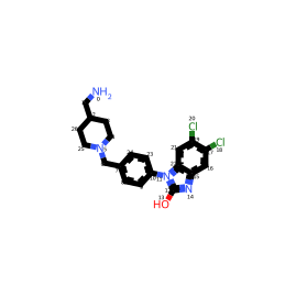 NCC1CCN(Cc2ccc(-n3c(O)nc4cc(Cl)c(Cl)cc43)cc2)CC1